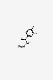 C=C(NC(C)CCC)c1ccc(C)c(C)c1